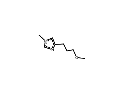 COCCCc1cn(C)cn1